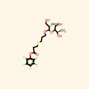 CC(=O)N[C@@H](CO)C(OCCCSCCC(=O)Oc1c(F)c(F)c(F)c(F)c1F)OC(CO)[C@@H](C)O